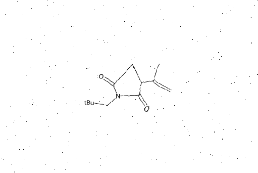 C=C(C)C1CC(=O)N(CC(C)(C)C)C1=O